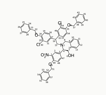 O=[N+]([O-])c1cc([C@H](CO)N(Cc2ccccc2)CC(c2ccc(OCc3ccccc3)c(Cl)c2)c2ccc(OCc3ccccc3)c(Cl)c2)ccc1OCc1ccccc1